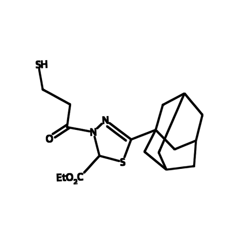 CCOC(=O)C1SC(C23CC4CC(CC(C4)C2)C3)=NN1C(=O)CCS